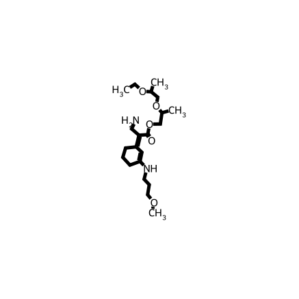 CCOC(C)COC(C)COC(=O)/C(CN)=C1\C=C(NCCCOC)CCC1